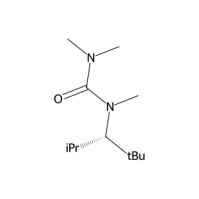 CC(C)[C@H](N(C)C(=O)N(C)C)C(C)(C)C